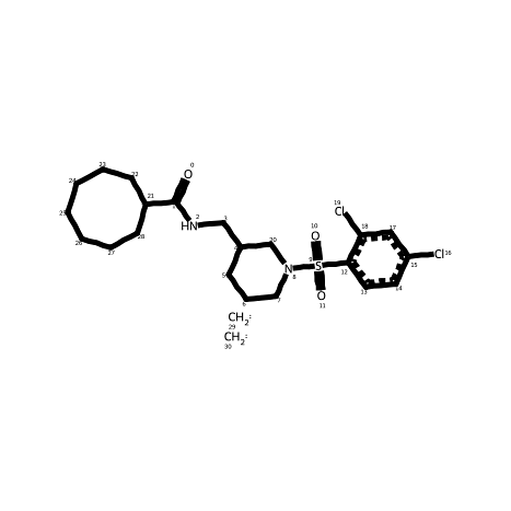 O=C(NCC1CCCN(S(=O)(=O)c2ccc(Cl)cc2Cl)C1)[C]1CCCCCCC1.[CH2].[CH2]